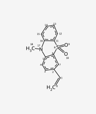 C=Cc1ccc2c(c1)S(=O)(=O)c1ccccc1N2C